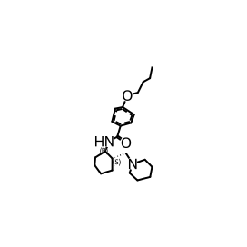 CCCCOc1ccc(C(=O)N[C@@H]2CCCC[C@H]2CN2CCCCC2)cc1